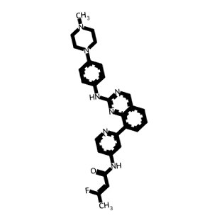 C/C(F)=C/C(=O)Nc1ccnc(-c2cccc3cnc(Nc4ccc(N5CCN(C)CC5)cc4)nc23)c1